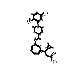 CC(=O)CC(C1=C=CC=CC(OCC2CCN(c3cc(O)ccc3C)CC2)=C1)C1CC1